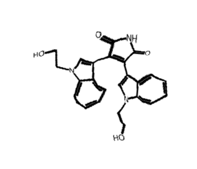 O=C1NC(=O)C(c2cn(CCO)c3ccccc23)=C1c1cn(CCO)c2ccccc12